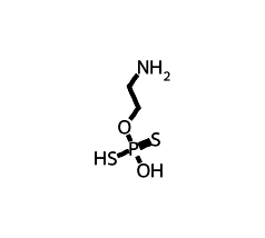 NCCOP(O)(=S)S